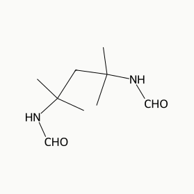 CC(C)(CC(C)(C)NC=O)NC=O